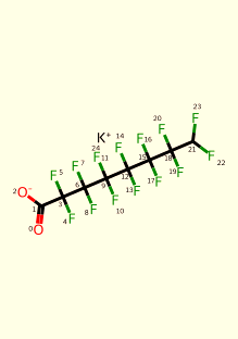 O=C([O-])C(F)(F)C(F)(F)C(F)(F)C(F)(F)C(F)(F)C(F)(F)C(F)F.[K+]